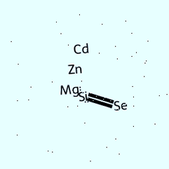 [Cd].[Mg].[Si]=[Se].[Zn]